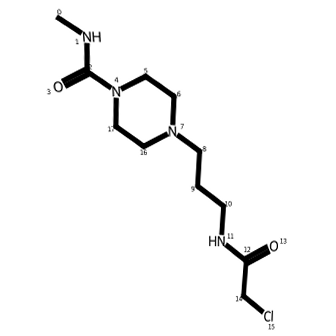 CNC(=O)N1CCN(CCCNC(=O)CCl)CC1